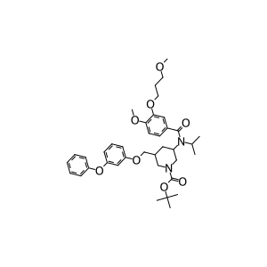 COCCCOc1cc(C(=O)N(C(C)C)C2CC(COc3cccc(Oc4ccccc4)c3)CN(C(=O)OC(C)(C)C)C2)ccc1OC